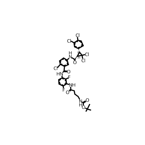 CC(C)(C)OC(=O)NCCCC(=O)Nc1c(F)ccc(NC(=O)c2cc(NC(=O)[C@H]3[C@H](c4ccc(Cl)c(Cl)c4)C3(Cl)Cl)ccc2Cl)c1F